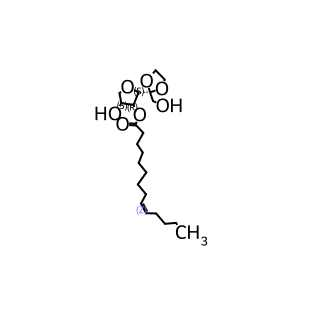 CCCC/C=C\CCCCCCCC(=O)O[C@@H]1[C@@H](O)CO[C@@H]1C1(CO)OCCO1